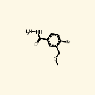 COCc1cc(C(=O)NN)ccc1Br